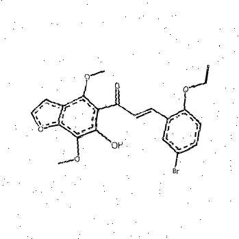 CCOc1ccc(Br)cc1/C=C/C(=O)c1c(O)c(OC)c2occc2c1OC